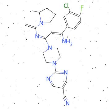 C=C(/N=C(\C=C(/N)c1ccc(F)c(Cl)c1)N1CCN(c2ncc(C#N)cn2)CC1)N1CCCC1C